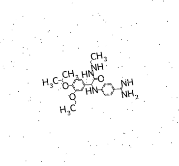 CCNNC(=O)C(Nc1ccc(C(=N)N)cc1)c1ccc(OC(C)C)c(OCC)c1